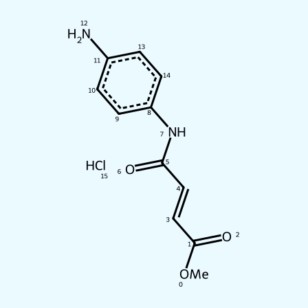 COC(=O)C=CC(=O)Nc1ccc(N)cc1.Cl